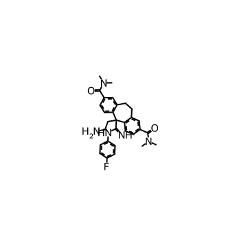 CN(C)C(=O)c1ccc2c(c1)CCc1cc(C(=O)N(C)C)ccc1C2(CCN)C(=N)Nc1ccc(F)cc1